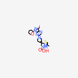 Cc1csc(C2(CNC(=O)O)C3CCN(c4cnc5c(I)nn(C6CCCCO6)c5n4)CC32)n1